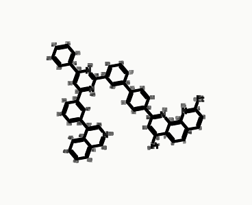 CCc1ccc2ccc3c(C(C)C)cc(-c4ccc(-c5cccc(-c6nc(-c7ccccc7)cc(-c7cccc(-c8cncc9ccccc89)c7)n6)c5)cc4)nc3c2n1